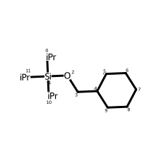 CC(C)[Si](OCC1[CH]CCCC1)(C(C)C)C(C)C